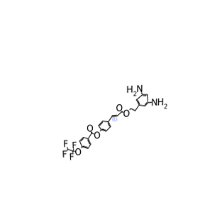 Nc1cc(N)cc(CCOC(=O)/C=C/c2ccc(OC(=O)c3ccc(OC(F)(F)C(F)F)cc3)cc2)c1